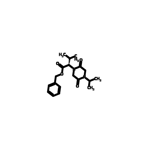 CC(C)[C@@H](C(=O)OCc1ccccc1)N1CC(=O)N(C(C)C)CC1=O